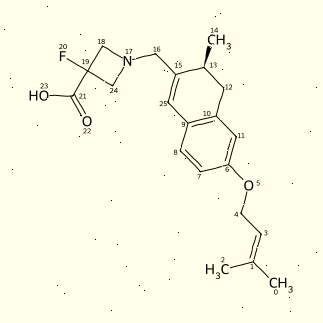 CC(C)=CCOc1ccc2c(c1)C[C@H](C)C(CN1CC(F)(C(=O)O)C1)=C2